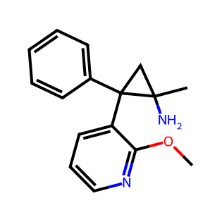 COc1ncccc1C1(c2ccccc2)CC1(C)N